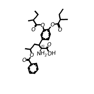 CCC(C)C(=O)Oc1ccc(C(CC(C)OC(=O)c2ccccc2)[C@H](N)C(=O)O)cc1OC(=O)C(C)CC